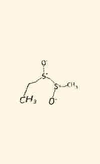 CC[S+]([O-])[S+](C)[O-]